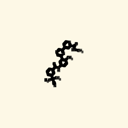 CNC(=O)c1cc(-c2cncc(-c3cc(NC(=O)c4cccc(C(C)(C)C#N)c4)ccc3C)n2)ccn1